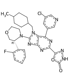 CC1CCC(Cn2c(N3CCOC[C@H]3c3ccccc3F)nc3nc(-c4n[nH]c(=O)o4)nc(-c4cncc(Cl)c4)c32)CC1